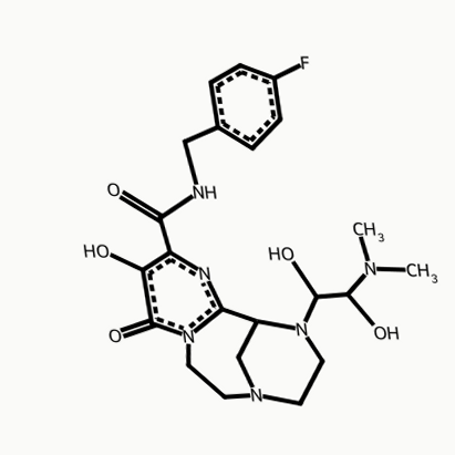 CN(C)C(O)C(O)N1CCN2CCn3c(nc(C(=O)NCc4ccc(F)cc4)c(O)c3=O)C1C2